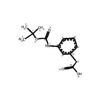 CC(C)(C)OC(=O)Nc1cccc(CC(=O)O)c1